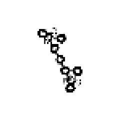 O=c1c2ccccc2nc(-c2ccc(-c3ccc(-c4ccc(-c5nc6ccccc6c(=O)n5-c5ccccc5)cc4)cc3)cc2)n1-c1ccccc1